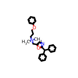 C[N+](C)(CCCOc1ccccc1)Cc1cnc(C(c2ccccc2)c2ccccc2)o1